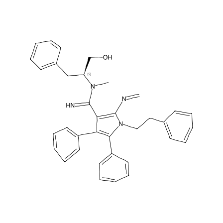 C=Nc1c(C(=N)N(C)[C@H](CO)Cc2ccccc2)c(-c2ccccc2)c(-c2ccccc2)n1CCc1ccccc1